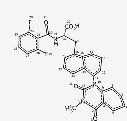 Cn1c(=O)c2ccccc2n(-c2cccc3c(C[C@H](NC(=O)c4c(F)cccc4F)C(=O)O)cccc23)c1=O